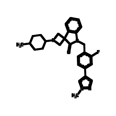 CC1CCC(N2CC3(C2)C(=O)N(Cc2ccc(-c4cnn(C)c4)cc2F)c2ccccc23)CC1